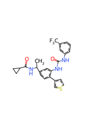 CC(NC(=O)C1CC1)c1ccc(-c2ccsc2)c(NC(=O)Nc2cccc(C(F)(F)F)c2)c1